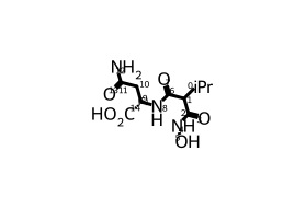 CC(C)C(C(=O)NO)C(=O)N[C@@H](CC(N)=O)C(=O)O